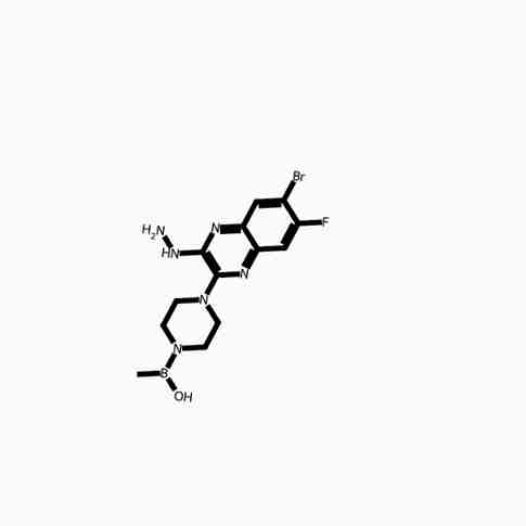 CB(O)N1CCN(c2nc3cc(F)c(Br)cc3nc2NN)CC1